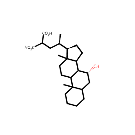 C[C@H](CC(C(=O)O)C(=O)O)[C@H]1CCC2C3C(CCC21C)C1(C)CCCCC1C[C@H]3O